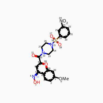 COc1ccc2/c(=N\O)cc(C(=O)N3CCN(S(=O)(=O)c4cccc([N+](=O)[O-])c4)CC3)oc2c1